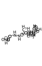 CCc1cc(Nc2ncc(Br)c(Nc3ccc4nccnc4c3P(C)(C)=O)n2)c(OC)cc1N1CCC(NCCNCCc2ccc(C3CCC(=O)NC3=O)c(Cl)c2)CC1